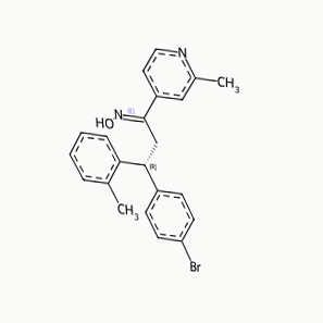 Cc1cc(/C(C[C@H](c2ccc(Br)cc2)c2ccccc2C)=N/O)ccn1